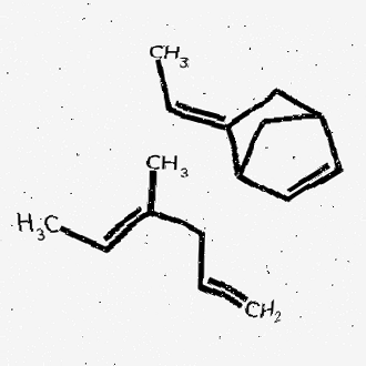 C=CCC(C)=CC.CC=C1CC2C=CC1C2